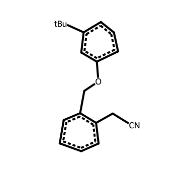 CC(C)(C)c1cccc(OCc2ccccc2CC#N)c1